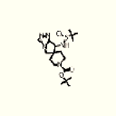 CC(C)(C)OC(=O)N1CCC2(CC1)Cn1cnnc1[C@H]2N[S@@+]([O-])C(C)(C)C